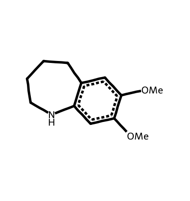 COc1cc2c(cc1OC)NCCCC2